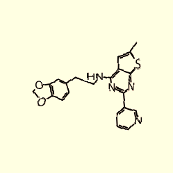 Cc1cc2c(NCCc3ccc4c(c3)OCO4)nc(-c3cccnc3)nc2s1